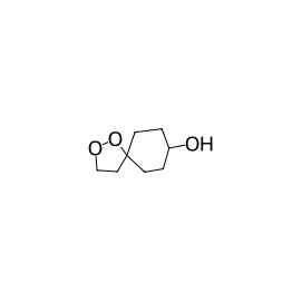 OC1CCC2(CCOO2)CC1